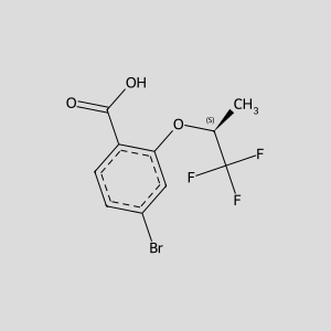 C[C@H](Oc1cc(Br)ccc1C(=O)O)C(F)(F)F